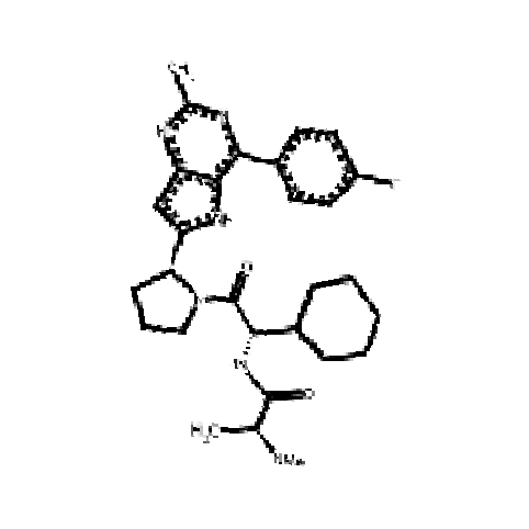 CN[C@@H](C)C(=O)N[C@H](C(=O)N1CCC[C@H]1c1cc2nc(C)nc(-c3ccc(F)cc3)c2[nH]1)C1CCCCC1